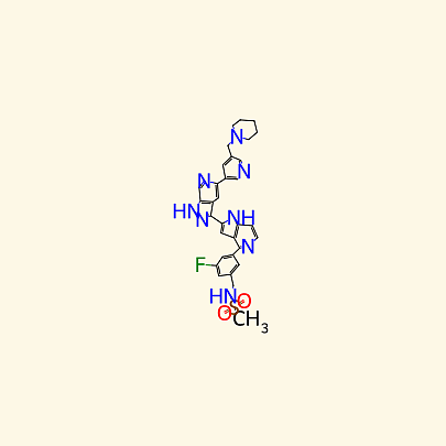 CS(=O)(=O)NCc1cc(F)cc(-c2nccc3[nH]c(-c4n[nH]c5cnc(-c6cncc(CN7CCCCC7)c6)cc45)cc23)c1